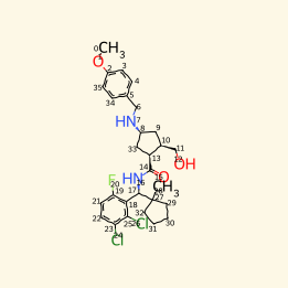 COc1ccc(CN[C@H]2C[C@@H](CO)[C@@H](C(=O)N[C@H](c3c(F)ccc(Cl)c3Cl)C3(C)CCCC3)C2)cc1